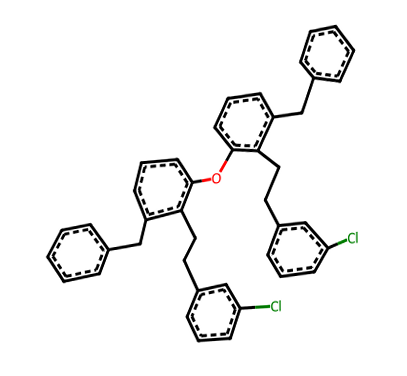 Clc1cccc(CCc2c(Cc3ccccc3)cccc2Oc2cccc(Cc3ccccc3)c2CCc2cccc(Cl)c2)c1